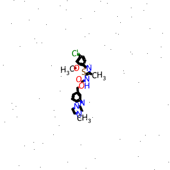 COc1cc(Cl)ccc1-c1nc(C)c(NC(=O)OCc2ccc3c(c2)nc2n3CCN(C)C2)s1